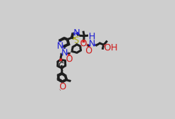 COc1ccc(C23CCC(CN(c4cc(-c5cnc(C(C)(C)C)s5)ccn4)C(=O)[C@H]4CC[C@H](OC(=O)NCCC(C)(C)O)CC4)(CC2)CC3)cc1C